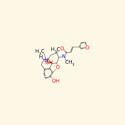 CC1C[C@@]2(O)[C@H]3Cc4ccc(O)c5c4[C@@]2(CCN3C)C(O5)C1N(C)C(=O)/C=C/c1ccoc1